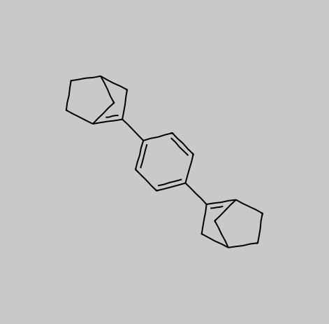 c1cc(C2=C3CCC(C3)C2)ccc1C1=C2CCC(C2)C1